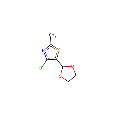 Cc1nc(Cl)c(C2OCCO2)s1